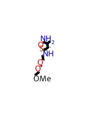 COCCOCOCCNC(=S)[CH]C(C)C(N)=O